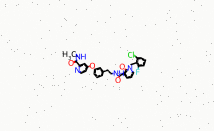 CNC(=O)c1cc(Oc2cccc(CCNC(=O)c3cccn(Cc4c(F)cccc4Cl)c3=O)c2)ccn1